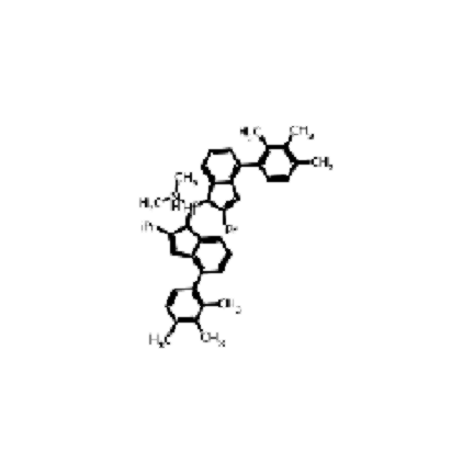 Cc1ccc(-c2cccc3c2C=C(C(C)C)[CH]3[Hf]([CH]2C(C(C)C)=Cc3c(-c4ccc(C)c(C)c4C)cccc32)[SiH](C)C)c(C)c1C